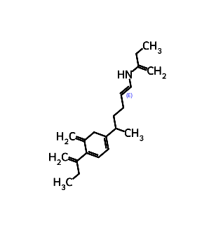 C=C(CC)N/C=C/CCC(C)C1=CC=C(C(=C)CC)C(=C)C1